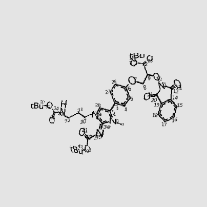 Cn1c(-c2ccc(OCC(ON3C(=O)c4ccccc4C3=O)C(=O)OC(C)(C)C)cc2)cn(CCCNC(=O)OC(C)(C)C)/c1=N\C(=O)OC(C)(C)C